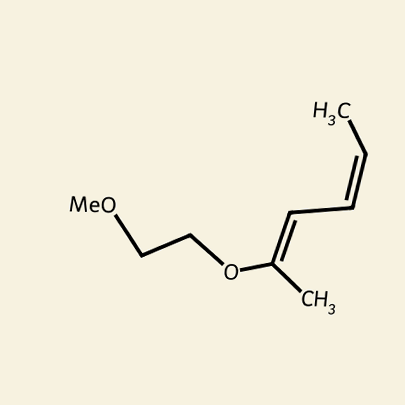 C/C=C\C=C(/C)OCCOC